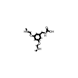 CNCOc1cc(CNC(=O)O)cc(OCNC)c1